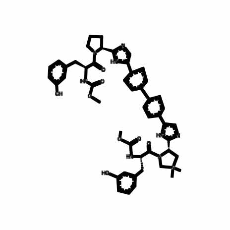 COC(=O)N[C@@H](Cc1cccc(O)c1)C(=O)N1CCC[C@H]1c1ncc(-c2ccc(-c3ccc(-c4cnc([C@@H]5C[Si](C)(C)CN5C(=O)[C@H](Cc5cccc(O)c5)NC(=O)OC)[nH]4)cc3)cc2)[nH]1